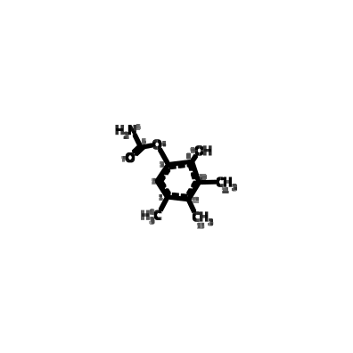 Cc1cc(OC(N)=O)c(O)c(C)c1C